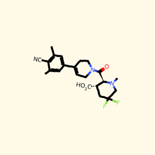 Cc1cc(C2=CCN(C(=O)[C@@H]3[C@@H](C(=O)O)CC(F)(F)CN3C)CC2)cc(C)c1C#N